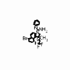 CC1(OCC(F)(F)F)CN(C(N)=Nc2ccccc2)c2ccc3c(Br)cccc3c21